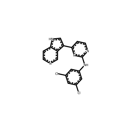 Clc1cc(Cl)cc(Nc2nccc(-c3c[nH]c4ccncc34)n2)c1